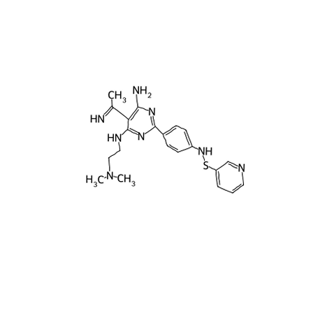 CC(=N)c1c(N)nc(-c2ccc(NSc3cccnc3)cc2)nc1NCCN(C)C